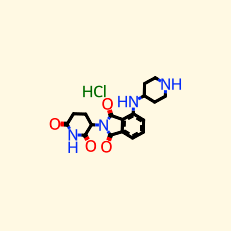 Cl.O=C1CCC(N2C(=O)c3cccc(NC4CCNCC4)c3C2=O)C(=O)N1